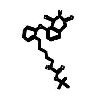 CC(C)(C)OC(=O)NCCCCCc1ccccc1Oc1cccc2c1C(=O)NC(=O)C2